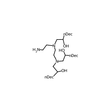 CCCCCCCCCCC(O)CN(CCN)CCN(CC(O)CCCCCCCCCC)CC(O)CCCCCCCCCC